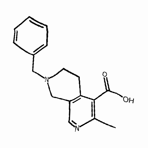 Cc1ncc2c(c1C(=O)O)CCN(Cc1ccccc1)C2